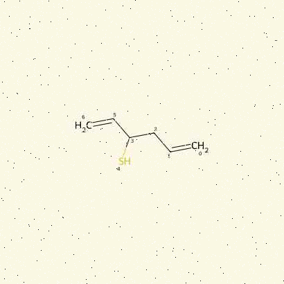 C=CCC(S)C=C